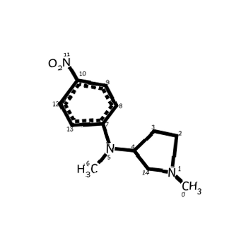 CN1CCC(N(C)c2ccc([N+](=O)[O-])cc2)C1